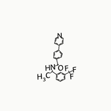 CC(NC(=O)c1ccc(-c2ccncc2)cc1)c1cccc(C(F)(F)F)c1